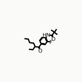 CCCCC(CC)C(=O)c1ccc(NC(=O)C(C)(C)C)c(F)c1